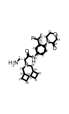 NC[C@H](C(=O)Nc1ccc(N2CCOCC2=O)c(C(F)F)c1)N(CC1CCC1)CC1CCC1